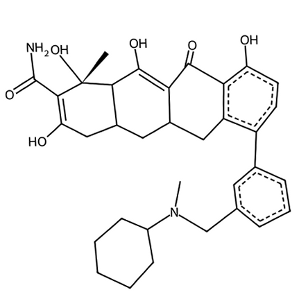 CN(Cc1cccc(-c2ccc(O)c3c2CC2CC4CC(O)=C(C(N)=O)[C@](C)(O)C4C(O)=C2C3=O)c1)C1CCCCC1